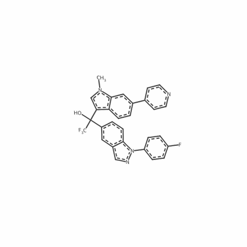 Cn1cc(C(O)(c2ccc3c(cnn3-c3ccc(F)cc3)c2)C(F)(F)F)c2ccc(-c3ccncc3)cc21